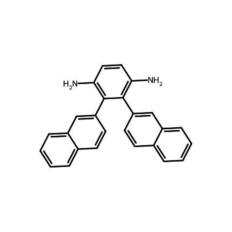 Nc1ccc(N)c(-c2ccc3ccccc3c2)c1-c1ccc2ccccc2c1